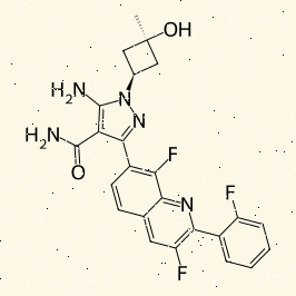 C[C@]1(O)C[C@@H](n2nc(-c3ccc4cc(F)c(-c5ccccc5F)nc4c3F)c(C(N)=O)c2N)C1